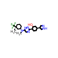 CC[C@]1(C(F)(F)F)CCC[C@H](N(C)c2cnc(-c3ccc(-c4cn[nH]c4)cc3O)nn2)C1